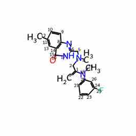 C=C(CN(C)Cc1nc2ccc(C)cc2c(=O)[nH]1)N(C)c1cccc(F)c1